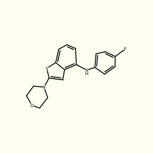 Fc1ccc(Nc2cccc3sc(N4CCOCC4)cc23)cc1